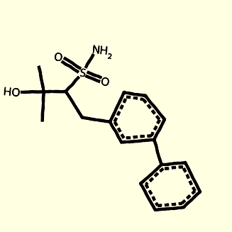 CC(C)(O)C(Cc1cccc(-c2ccccc2)c1)S(N)(=O)=O